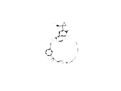 CC1CCCCCCCn2c(=O)c(C3(C#N)CC3)cc3c(ncnc32)N[C@H](C)c2cccc(c2)C(F)(F)C2CCN1CC2